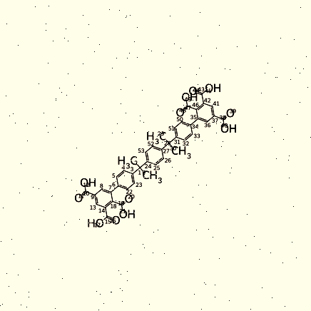 CC(C)(c1ccc(-c2cc(C(=O)O)cc(C(=O)O)c2C(=O)O)cc1)c1ccc(C(C)(C)c2ccc(-c3cc(C(=O)O)cc(C(=O)O)c3C(=O)O)cc2)cc1